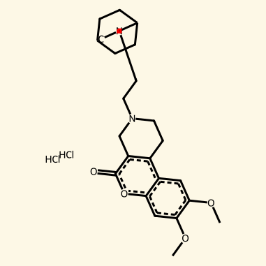 COc1cc2oc(=O)c3c(c2cc1OC)CCN(CCN1CC2CCC(CC2)C1)C3.Cl.Cl